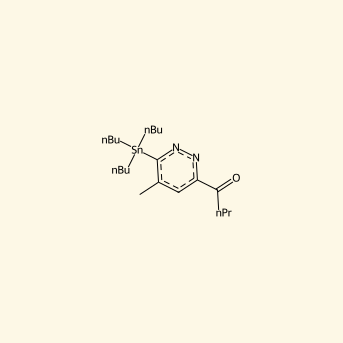 CCC[CH2][Sn]([CH2]CCC)([CH2]CCC)[c]1nnc(C(=O)CCC)cc1C